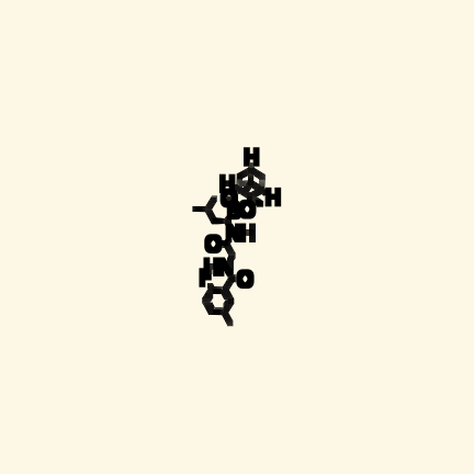 Cc1ccc(F)c(C(=O)NCC(=O)N[C@@H](CC(C)C)B2O[C@@H]3C[C@@H]4C[C@@H](C4(C)C)[C@]3(C)O2)c1